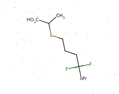 CCCC(F)(F)CCCSC(C)C(=O)O